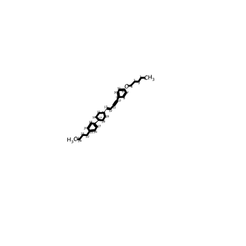 CCCCCOc1ccc(C#CC=C[C@H]2CC[C@H](c3ccc(CCCC)cc3)CC2)cc1